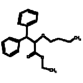 CCCCOC(C(=O)OCC)C(c1ccccc1)c1ccccc1